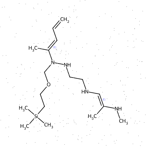 C=C/C=C(\C)N(COCC[Si](C)(C)C)NCCN/C=C(\C)NC